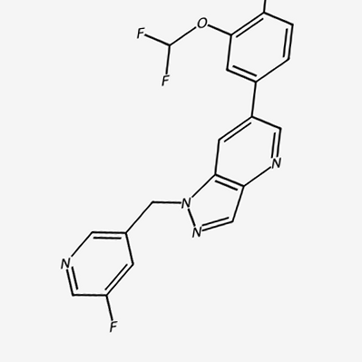 Fc1cncc(Cn2ncc3ncc(-c4ccc(Cl)c(OC(F)F)c4)cc32)c1